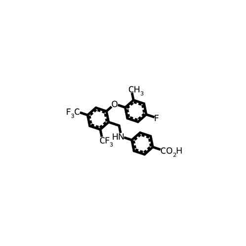 Cc1cc(F)ccc1Oc1cc(C(F)(F)F)cc(C(F)(F)F)c1CNc1ccc(C(=O)O)cc1